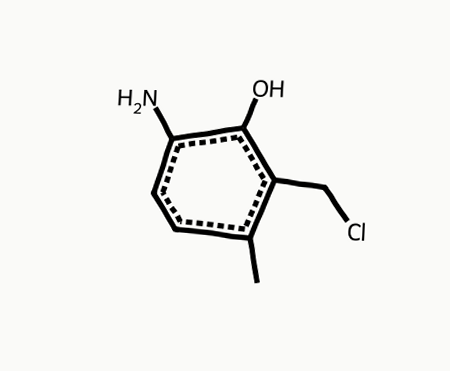 Cc1ccc(N)c(O)c1CCl